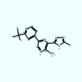 Cc1nnc(-c2nc(-c3ccnc(C(C)(C)C)c3)cnc2N)o1